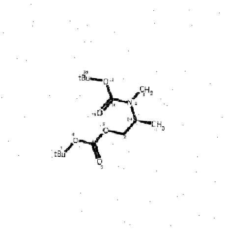 C[C@@H](COC(=O)OC(C)(C)C)N(C)C(=O)OC(C)(C)C